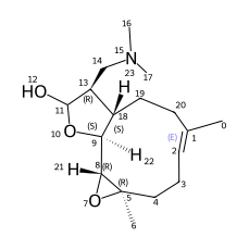 C/C1=C\CC[C@@]2(C)O[C@@H]2[C@H]2OC(O)[C@@H](CN(C)C)[C@@H]2CC1